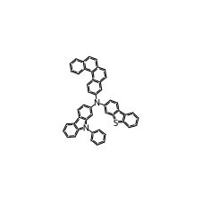 c1ccc(-n2c3ccccc3c3ccc(N(c4ccc5c(ccc6ccc7ccccc7c65)c4)c4ccc5c(c4)sc4ccccc45)cc32)cc1